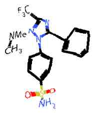 CNC.NS(=O)(=O)c1ccc(-n2nc(C(F)(F)F)nc2-c2ccccc2)cc1